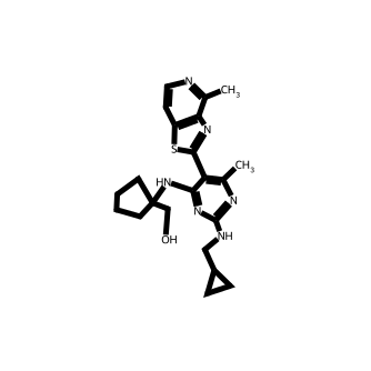 Cc1nc(NCC2CC2)nc(NC2(CO)CCCC2)c1-c1nc2c(C)nccc2s1